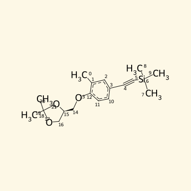 Cc1cc(C#C[Si](C)(C)C)ccc1OC[C@H]1COC(C)(C)O1